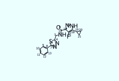 O=C(NCc1nnc(-c2ccccc2)s1)c1n[nH]c(C2CC2)c1F